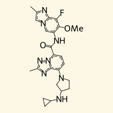 COc1c(NC(=O)c2ccc(N3CCC(NC4CC4)C3)c3nc(C)nn23)cn2cc(C)nc2c1F